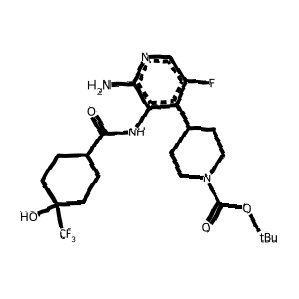 CC(C)(C)OC(=O)N1CCC(c2c(F)cnc(N)c2NC(=O)C2CCC(O)(C(F)(F)F)CC2)CC1